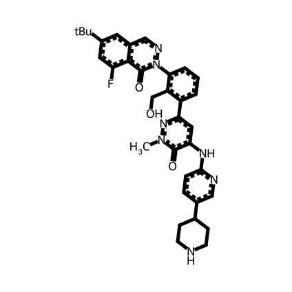 Cn1nc(-c2cccc(-n3ncc4cc(C(C)(C)C)cc(F)c4c3=O)c2CO)cc(Nc2ccc(C3CCNCC3)cn2)c1=O